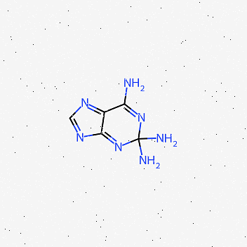 NC1=NC(N)(N)N=C2N=CN=C12